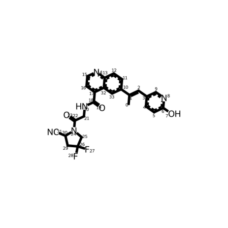 CC(=Cc1ccc(O)nc1)c1ccc2nccc(C(=O)NCC(=O)N3CC(F)(F)CC3C#N)c2c1